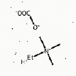 CC[N+](C)(C)C.O=C([O-])[O-].[H+]